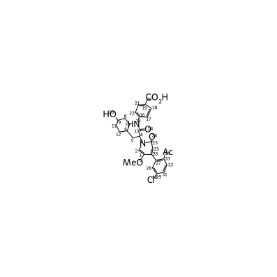 COc1cn(C(CC2CCC(O)CC2)C(=O)Nc2ccc(C(=O)O)cc2)c(=O)cc1-c1cc(Cl)ccc1C(C)=O